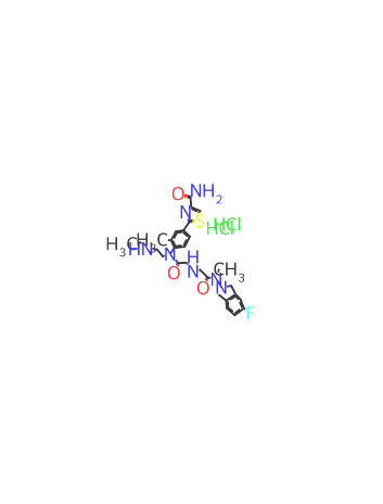 CCNCCN(C(=O)CNCC(=O)N(C)N1Cc2ccc(F)cc2C1)c1ccc(-c2nc(C(N)=O)cs2)cc1C.Cl.Cl